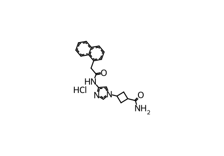 Cl.NC(=O)C1CC(n2cnc(NC(=O)Cc3cccc4ccccc34)c2)C1